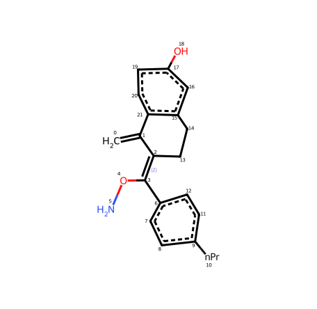 C=C1/C(=C(\ON)c2ccc(CCC)cc2)CCc2cc(O)ccc21